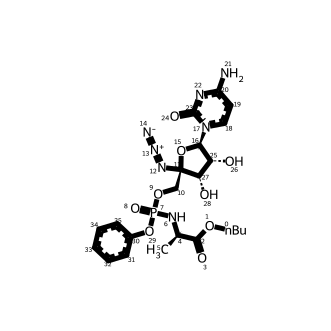 CCCCOC(=O)[C@@H](C)NP(=O)(OC[C@@]1(N=[N+]=[N-])O[C@@H](n2ccc(N)nc2=O)[C@H](O)[C@@H]1O)Oc1ccccc1